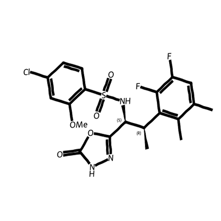 COc1cc(Cl)ccc1S(=O)(=O)N[C@H](c1n[nH]c(=O)o1)[C@H](C)c1c(C)c(C)cc(F)c1F